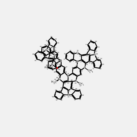 CN1c2cc3c(cc2B2c4ccccc4Oc4c2c1c1c2ccccc2n2c5ccccc5c4c12)B1c2cc4c(cc2N(C)c2c1c(c1c5ccccc5n5c6ccccc6c2c15)N3C)N(C)c1c2c(c3c5ccccc5n5c6ccccc6c1c35)N(c1ccccc1)c1ccccc1B42